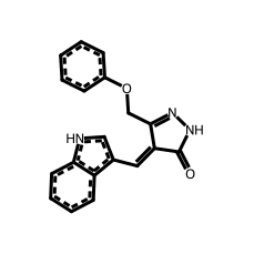 O=C1NN=C(COc2ccccc2)C1=Cc1c[nH]c2ccccc12